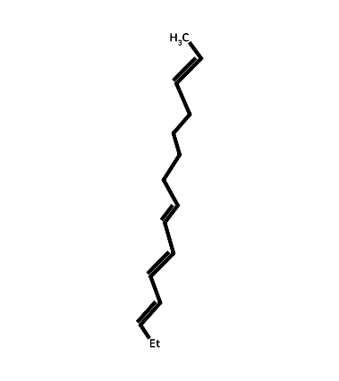 C/C=C/CCCC/C=C/C=C/C=C/CC